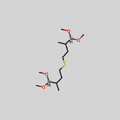 CO[SiH](OC)C(C)CCSCCC(C)[SiH](OC)OC